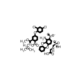 COC(=O)c1cc(Oc2ccc(Cl)cc2Cl)ccc1[N+](=O)[O-].C[S+](C)C.Nc1c([N+](=O)[O-])ccc(Oc2ccccc2)c1Cl.O=C(O)CNCP(=O)([O-])O